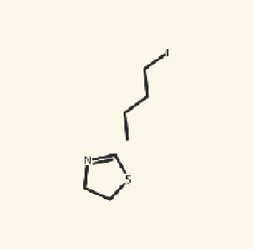 C1=NCCS1.CCCCI